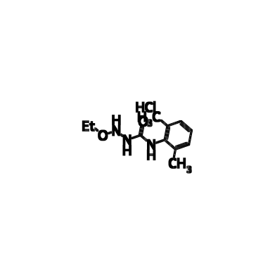 CCONNC(=O)Nc1c(C)cccc1C.Cl